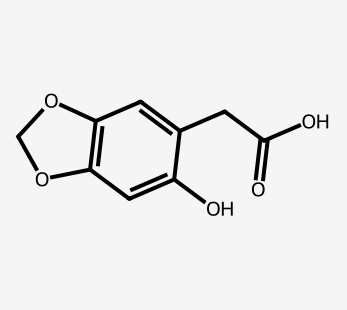 O=C(O)Cc1cc2c(cc1O)OCO2